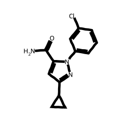 NC(=O)c1cc(C2CC2)nn1-c1cccc(Cl)c1